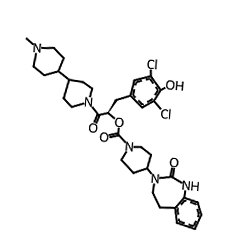 CN1CCC(C2CCN(C(=O)[C@@H](Cc3cc(Cl)c(O)c(Cl)c3)OC(=O)N3CCC(N4CCc5ccccc5NC4=O)CC3)CC2)CC1